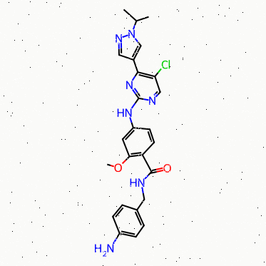 COc1cc(Nc2ncc(Cl)c(-c3cnn(C(C)C)c3)n2)ccc1C(=O)NCc1ccc(N)cc1